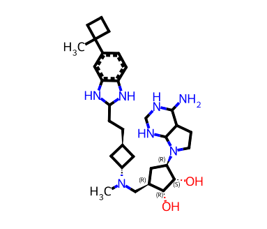 CN(C[C@H]1C[C@@H](N2CCC3C(N)NCNC32)[C@H](O)[C@@H]1O)[C@H]1C[C@H](CCC2Nc3ccc(C4(C)CCC4)cc3N2)C1